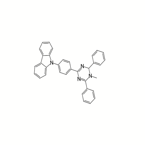 CN1C(c2ccccc2)=NC(c2ccc(-n3c4ccccc4c4ccccc43)cc2)=NC1c1ccccc1